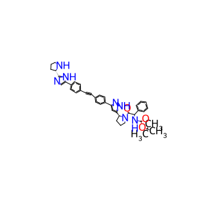 CC(C)(C)OC(=O)N[C@@H](C(=O)N1CCC[C@H]1c1cc(-c2ccc(C#Cc3ccc(-c4cnc([C@@H]5CCCN5)[nH]4)cc3)cc2)n[nH]1)c1ccccc1